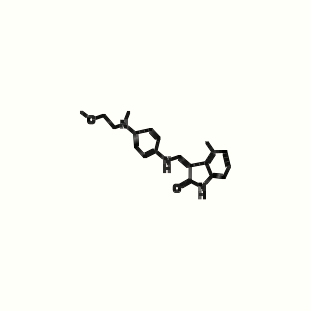 COCCN(C)c1ccc(NC=C2C(=O)Nc3cccc(C)c32)cc1